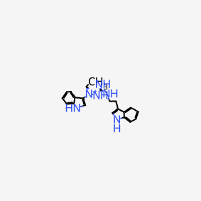 CC=[N+](NC(=N)NCCc1c[nH]c2ccccc12)c1c[nH]c2ccccc12